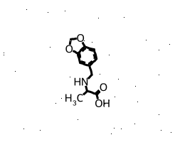 CC(NCc1ccc2c(c1)OCO2)C(=O)O